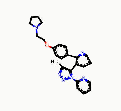 Cc1nnn(-c2ccccn2)c1-c1cccnc1-c1ccc(OCCN2CCCC2)cc1